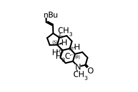 CCCCC=CC1CC[C@H]2[C@@H]3CCC4N(C)C(=O)CC[C@]4(C)[C@@H]3CC[C@]12C